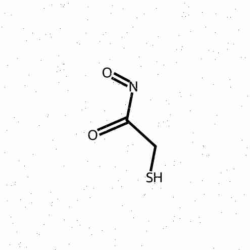 O=NC(=O)CS